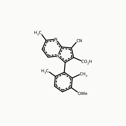 COc1ccc(C)c(-c2c(C(=O)O)c(C#N)c3nc(C)ccn23)c1C